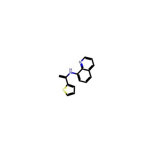 C=C(Nc1cccc2cccnc12)c1cccs1